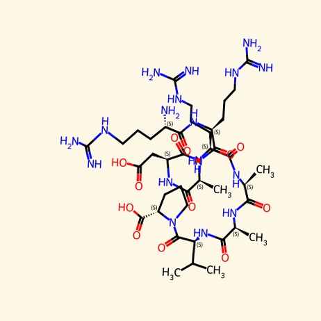 CC(C)[C@H](NC(=O)[C@H](C)NC(=O)[C@H](C)NC(=O)[C@H](CCCNC(=N)N)NC(=O)[C@H](CC(=O)O)NC(=O)[C@H](C)NC(=O)[C@H](CCCNC(=N)N)NC(=O)[C@@H](N)CCCNC(=N)N)C(=O)N1CCC[C@H]1C(=O)O